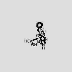 [N-]=[N+]=NC1(C(=O)OCc2ccccc2)C[C@H]2CNC(=O)[C@H]2[C@@H]1CCCB(O)O